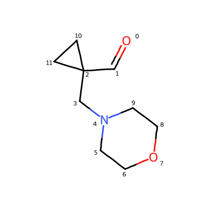 O=CC1(CN2CCOCC2)CC1